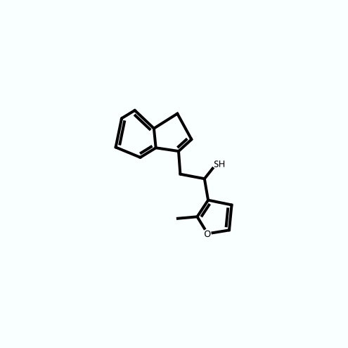 Cc1occc1C(S)CC1=CCc2ccccc21